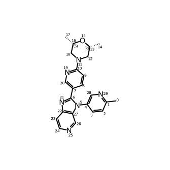 Cc1ccc(-n2c(-c3ccc(N4C[C@@H](C)O[C@@H](C)C4)nc3)nc3ccncc32)cn1